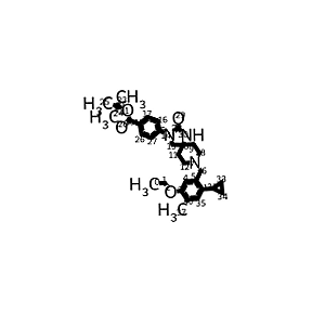 CCOc1cc(CN2CCC3(CC2)CN(c2ccc(C(=O)OC(C)(C)C)cc2)C(=O)N3)c(C2CC2)cc1C